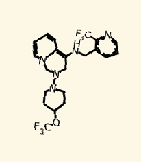 FC(F)(F)OC1CCN(N2CC(NCc3cccnc3C(F)(F)F)=C3C=CC=CN3C2)CC1